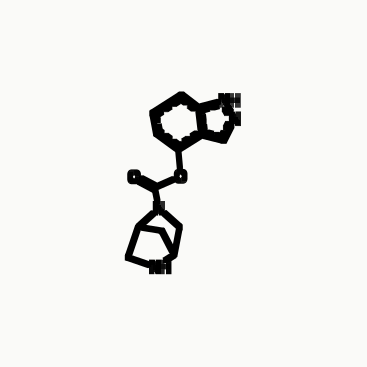 O=C(Oc1cccc2[nH]ncc12)N1CC2CC1CN2